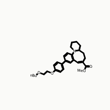 CCCCOCCOc1ccc(-c2ccc3c(c2)/C=C(/C(=O)OC)CCC2CCCCN32)cc1